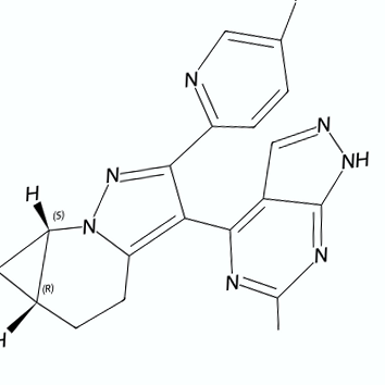 Cc1nc(-c2c(-c3ccc(F)cn3)nn3c2CC[C@@H]2C[C@@H]23)c2cn[nH]c2n1